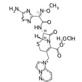 CO/N=C(\C(=O)N[C@@H]1C(=O)N2C(C(=O)[O-])=C(C[n+]3ccn4ncccc43)CS[C@H]12)c1nsc(N)n1.Cl.O